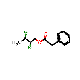 CC(Br)C(Br)COC(=O)Cc1ccccc1